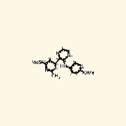 COc1ccc(Nc2nccnc2-c2cc(SC)nc(C)n2)cn1